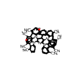 N#Cc1cccc(-c2c(-n3c4cccc(C#N)c4c4c(C#N)cccc43)c(-n3c4cccc(C#N)c4c4c(C#N)cccc43)nc(-n3c4cccc(C#N)c4c4c(C#N)cccc43)c2-n2c3cccc(C#N)c3c3c(C#N)cccc32)c1